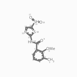 COc1c(C)cccc1C(=O)Nc1ncc([SH](=O)=O)s1